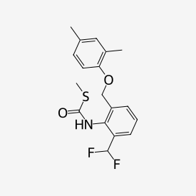 CSC(=O)Nc1c(COc2ccc(C)cc2C)cccc1C(F)F